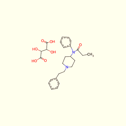 CCC(=O)N(c1ccccc1)C1CCN(CCc2ccccc2)CC1.O=C(O)C(O)C(O)C(=O)O